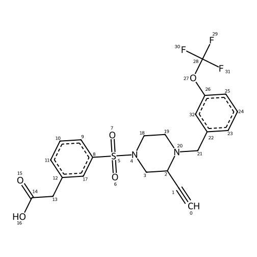 C#CC1CN(S(=O)(=O)c2cccc(CC(=O)O)c2)CCN1Cc1cccc(OC(F)(F)F)c1